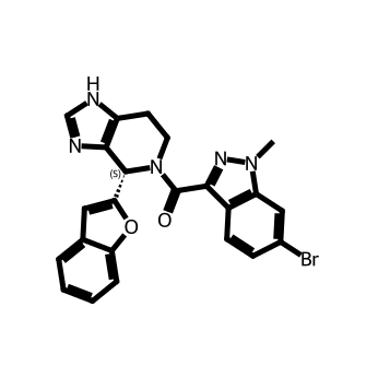 Cn1nc(C(=O)N2CCc3[nH]cnc3[C@H]2c2cc3ccccc3o2)c2ccc(Br)cc21